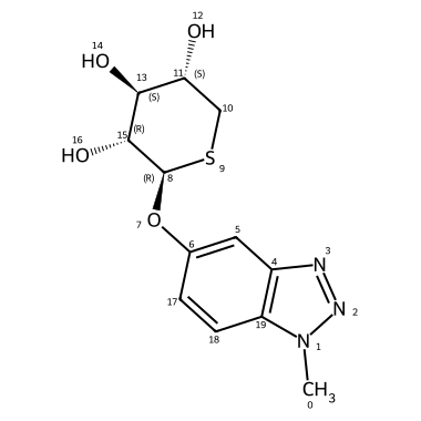 Cn1nnc2cc(O[C@@H]3SC[C@@H](O)[C@H](O)[C@H]3O)ccc21